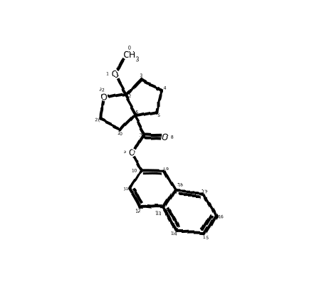 COC12CCCC1(C(=O)Oc1ccc3ccccc3c1)CCO2